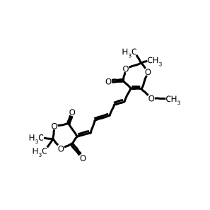 COC1=C(C=CC=CC=C2C(=O)OC(C)(C)OC2=O)C(=O)OC(C)(C)O1